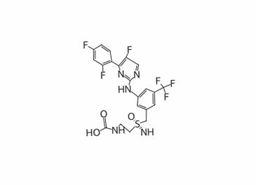 N=S(=O)(CCNC(=O)O)Cc1cc(Nc2ncc(F)c(-c3ccc(F)cc3F)n2)cc(C(F)(F)F)c1